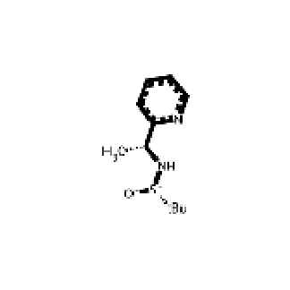 C[C@@H](N[S@@+]([O-])C(C)(C)C)c1ccccn1